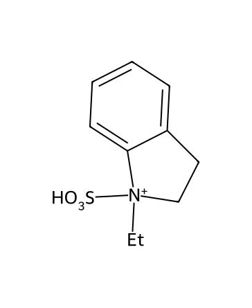 CC[N+]1(S(=O)(=O)O)CCc2ccccc21